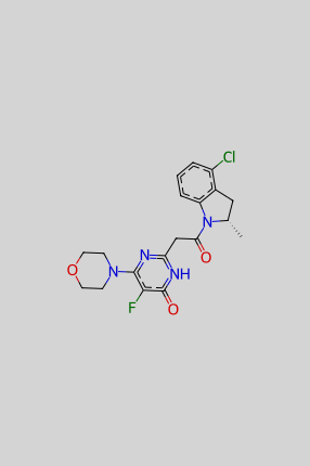 C[C@H]1Cc2c(Cl)cccc2N1C(=O)Cc1nc(N2CCOCC2)c(F)c(=O)[nH]1